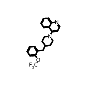 FC(F)(F)Oc1ccccc1CC1CCN(c2ccnc3ccccc23)CC1